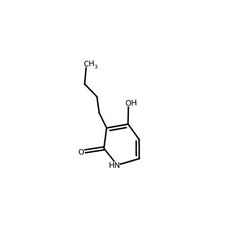 CCCCc1c(O)cc[nH]c1=O